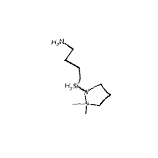 C[Si]1(C)CCCN1[SiH2]CCCN